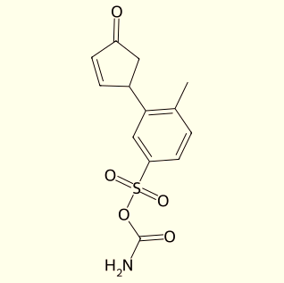 Cc1ccc(S(=O)(=O)OC(N)=O)cc1C1C=CC(=O)C1